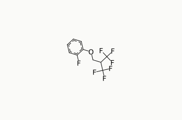 Fc1ccccc1OCC(C(F)(F)F)C(F)(F)F